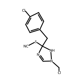 N#CSC1(Cc2ccc(Cl)cc2)N=CN(CCl)N1